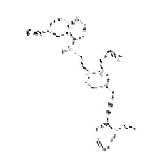 COc1ccc2nccc([C@@H](F)CC[C@@H]3CCN(CC#Cc4ccccc4C)C[C@@H]3CC(=O)O)c2c1